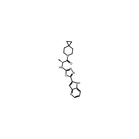 C[C@H](Nc1nnc(-c2cc3ncccc3[nH]2)o1)C(=O)N1CCC2(CC1)CC2